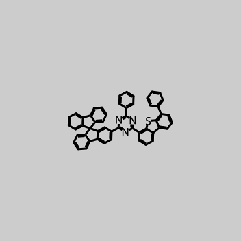 c1ccc(-c2nc(-c3ccc4c(c3)C3(c5ccccc5-c5ccccc53)c3ccccc3-4)nc(-c3cccc4c3sc3c(-c5ccccc5)cccc34)n2)cc1